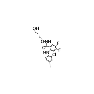 O=C(NOCCCCO)c1cc(F)c(F)cc1Nc1ccc(I)cc1Cl